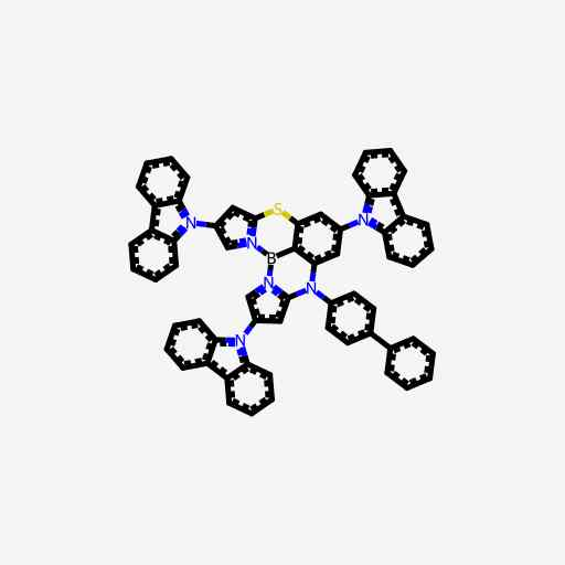 c1ccc(-c2ccc(N3c4cc(-n5c6ccccc6c6ccccc65)cc5c4B(n4cc(-n6c7ccccc7c7ccccc76)cc4S5)n4cc(-n5c6ccccc6c6ccccc65)cc43)cc2)cc1